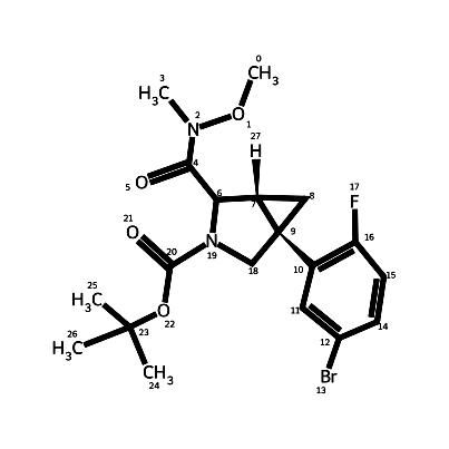 CON(C)C(=O)C1[C@@H]2C[C@]2(c2cc(Br)ccc2F)CN1C(=O)OC(C)(C)C